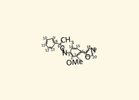 COc1cc(N=C=C(C)c2ccccc2)ccc1-c1cnco1